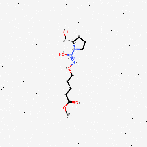 CC(C)(C)OC(=O)CCCCO/N=[N+](\O)N1CCC[C@H]1CO